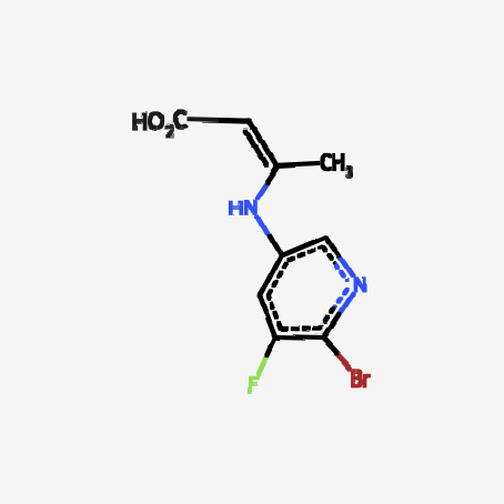 C/C(=C/C(=O)O)Nc1cnc(Br)c(F)c1